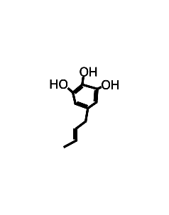 CC=CCc1cc(O)c(O)c(O)c1